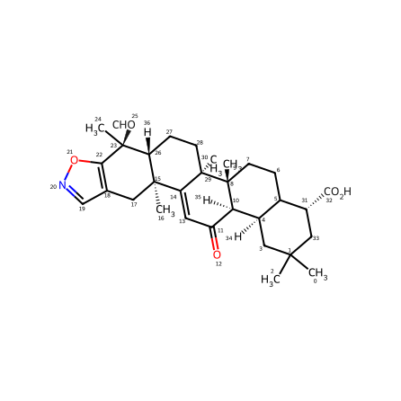 CC1(C)C[C@@H]2C(CC[C@]3(C)[C@@H]2C(=O)C=C2[C@@]4(C)Cc5cnoc5[C@@](C)(C=O)[C@@H]4CC[C@]23C)[C@H](C(=O)O)C1